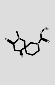 CN1CC2(CCCN(C(=O)OC(C)(C)C)C2)C(=O)CC1=O